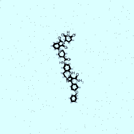 NC(=O)c1c(-c2ccc(Oc3ccccc3)cc2)nn2c1Nc1ccc(NC(=O)C3CCN(c4cccc5c4C(=O)N(C4CCC(=O)NC4=O)C5=O)CC3)cc1CC2